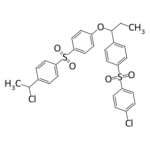 CCC(Oc1ccc(S(=O)(=O)c2ccc(C(C)Cl)cc2)cc1)c1ccc(S(=O)(=O)c2ccc(Cl)cc2)cc1